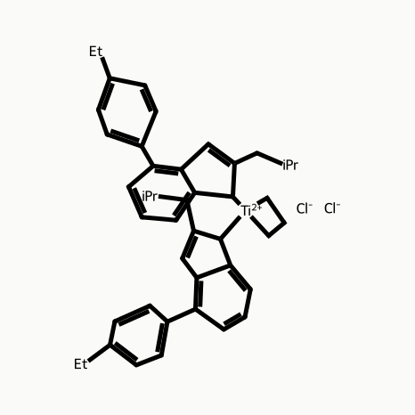 CCc1ccc(-c2cccc3c2C=C(CC(C)C)[CH]3[Ti+2]2([CH]3C(CC(C)C)=Cc4c(-c5ccc(CC)cc5)cccc43)[CH2]C[CH2]2)cc1.[Cl-].[Cl-]